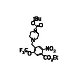 CCOC(=O)c1cc(OC(F)(F)F)c(CN2CCN(C(=O)OC(C)(C)C)CC2)cc1[N+](=O)[O-]